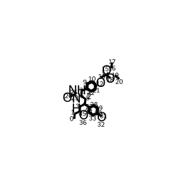 CCCCC(CC(Cc1ccc(OCC(OCC)OCC)cc1)NC(N)=O)c1ccc(OC)cc1OC